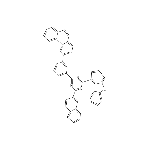 c1cc(-c2ccc3ccc4ccccc4c3c2)cc(-c2nc(-c3ccc4ccccc4c3)nc(-c3cccc4oc5ccccc5c34)n2)c1